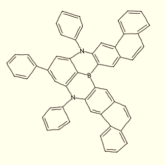 c1ccc(-c2cc3c4c(c2)N(c2ccccc2)c2cc5c(ccc6ccccc65)cc2B4c2cc4ccc5ccccc5c4cc2N3c2ccccc2)cc1